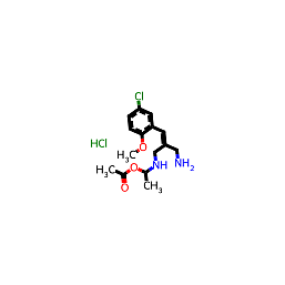 COc1ccc(Cl)cc1C=C(CN)CNC(C)OC(C)=O.Cl